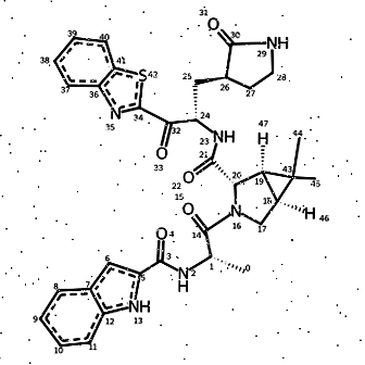 C[C@H](NC(=O)c1cc2ccccc2[nH]1)C(=O)N1C[C@H]2[C@@H]([C@H]1C(=O)N[C@@H](C[C@@H]1CCNC1=O)C(=O)c1nc3ccccc3s1)C2(C)C